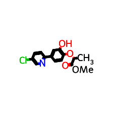 COC(=O)C(C)Oc1ccc(-c2ccc(Cl)cn2)cc1O